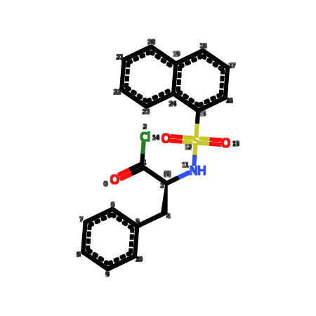 O=C(Cl)[C@H](Cc1ccccc1)NS(=O)(=O)c1cccc2ccccc12